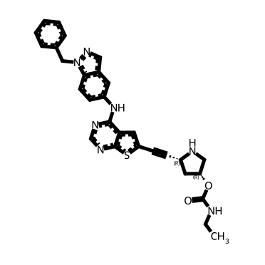 CCNC(=O)O[C@H]1CN[C@@H](C#Cc2cc3c(Nc4ccc5c(cnn5Cc5ccccc5)c4)ncnc3s2)C1